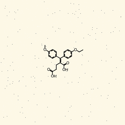 CCOc1ccc(C(=C(CCC(=O)O)C(=O)O)c2ccc(OC)cc2)cc1